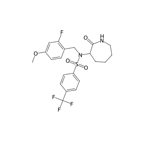 COc1ccc(CN(C2CCCCNC2=O)S(=O)(=O)c2ccc(C(F)(F)F)cc2)c(F)c1